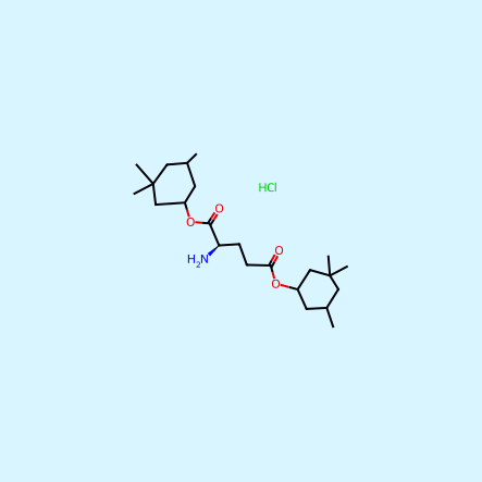 CC1CC(OC(=O)CC[C@@H](N)C(=O)OC2CC(C)CC(C)(C)C2)CC(C)(C)C1.Cl